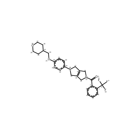 O=C(c1ccccc1C(F)(F)F)N1CC2=C(C1)CN(c1ccc(OCC3CCOCC3)nn1)C2